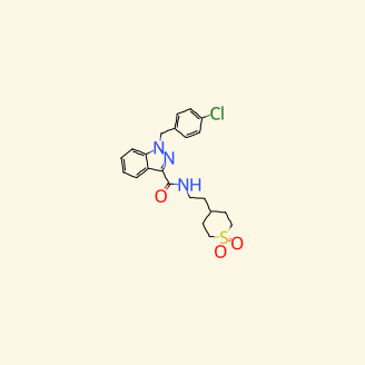 O=C(NCCC1CCS(=O)(=O)CC1)c1nn(Cc2ccc(Cl)cc2)c2ccccc12